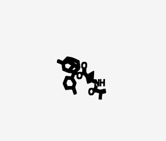 C=C(C)C(=O)NC12CC1(C(=O)OC1(C3CCCC(C)C3)C3CC4CC1CC(C)(C4)C3)C2